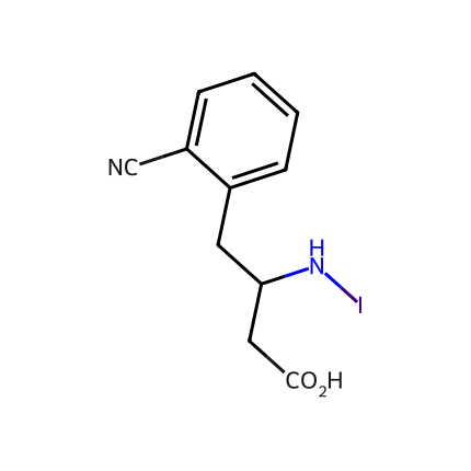 N#Cc1ccccc1CC(CC(=O)O)NI